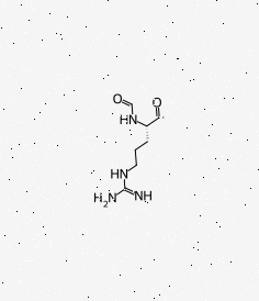 N=C(N)NCCC[C@@H]([C]=O)NC=O